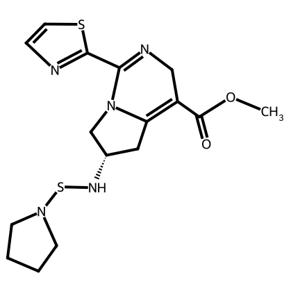 COC(=O)C1=C2C[C@H](NSN3CCCC3)CN2C(c2nccs2)=NC1